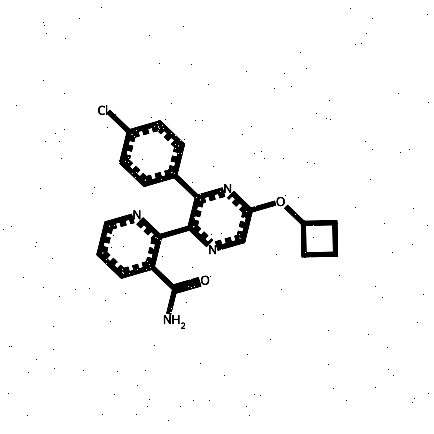 NC(=O)c1cccnc1-c1ncc(OC2CCC2)nc1-c1ccc(Cl)cc1